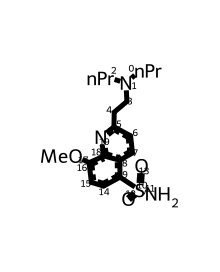 CCCN(CCC)CCc1ccc2c(S(N)(=O)=O)ccc(OC)c2n1